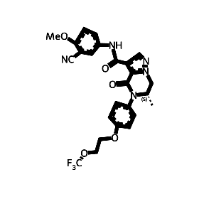 COc1ccc(NC(=O)c2cnn3c2C(=O)N(c2ccc(OCCOC(F)(F)F)cc2)[C@@H](C)C3)cc1C#N